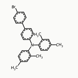 Cc1ccc(N(c2ccc(-c3ccc(Br)cc3)cc2)c2ccc(C)cc2C)c(C)c1